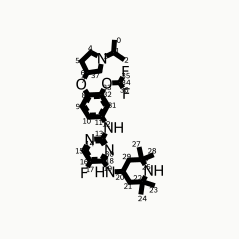 CC(C)N1CCC(Oc2ccc(Nc3ncc(F)c(NC4CC(C)(C)NC(C)(C)C4)n3)cc2OC(F)F)C1